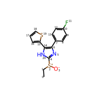 CC[S+]([O-])c1nc(-c2ccc(F)cc2)c(-c2cccs2)[nH]1